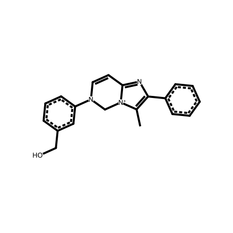 CC1=C(c2ccccc2)N=C2C=CN(c3cccc(CO)c3)C[N+]21